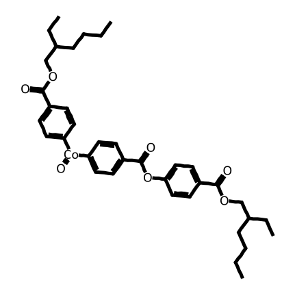 CCCCC(CC)COC(=O)c1ccc(OC(=O)c2cc[c]([Co](=[O])[c]3ccc(C(=O)OCC(CC)CCCC)cc3)cc2)cc1